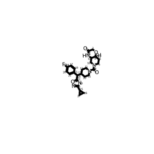 O=C1CO[C@H]2CCN(C(=O)N3CCC(C(c4ccc(F)cc4)c4nc(C5CC5)no4)CC3)CC2N1